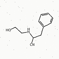 N#CC(Cc1ccccc1)NCCO